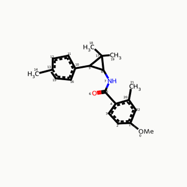 COc1ccc(C(=O)NC2C(c3ccc(C)cc3)C2(C)C)c(C)c1